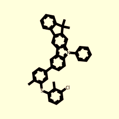 Cc1ccc(-c2ccc3c(c2)c2cc4c(cc2n3-c2ccccc2)C(C)(C)c2ccccc2-4)cc1Sc1cccc(Cl)c1C